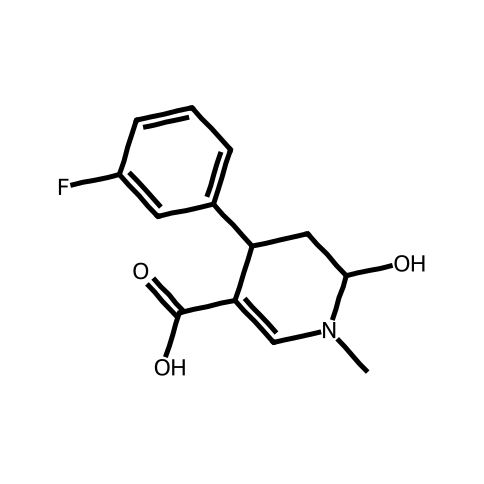 CN1C=C(C(=O)O)C(c2cccc(F)c2)CC1O